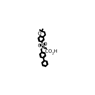 CC1(C)CCc2cc(S(=O)(=O)N(CC(=O)O)Cc3ccc(-c4ccccc4)cc3)ccc2O1